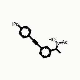 CC(=O)N(O)C(C)c1cccc(C#Cc2ccc(C(C)C)cc2)c1